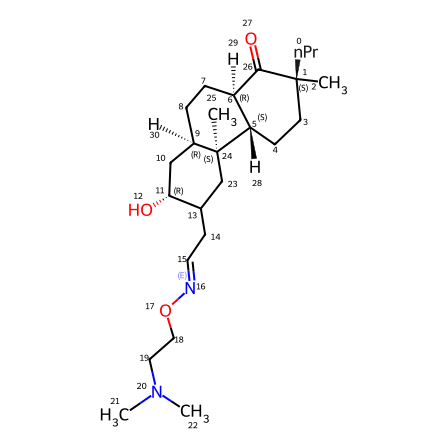 CCC[C@@]1(C)CC[C@H]2[C@@H](CC[C@@H]3C[C@@H](O)C(C/C=N/OCCN(C)C)C[C@@]32C)C1=O